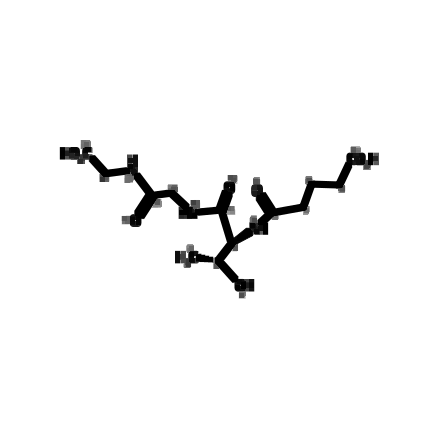 C[C@@H](O)[C@H](NC(=O)CCCC(=O)O)C(=O)NCC(=O)NCC(=O)O